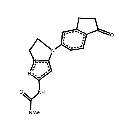 CNC(=O)Nc1cc2n(n1)CCN2c1ccc2c(c1)CCC2=O